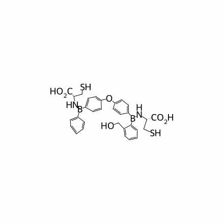 O=C(O)[C@H](CS)NB(c1ccccc1)c1ccc(Oc2ccc(B(N[C@@H](CS)C(=O)O)c3ccccc3CO)cc2)cc1